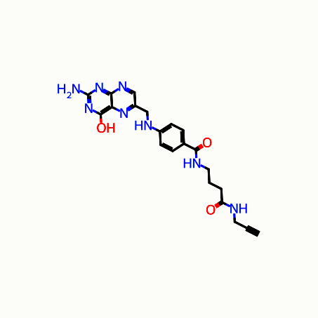 C#CCNC(=O)CCCNC(=O)c1ccc(NCc2cnc3nc(N)nc(O)c3n2)cc1